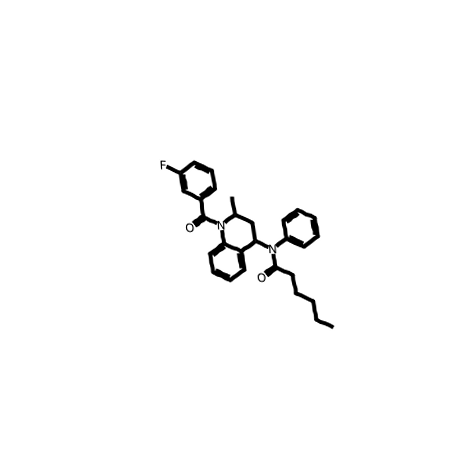 CCCCCC(=O)N(c1ccccc1)C1CC(C)N(C(=O)c2cccc(F)c2)c2ccccc21